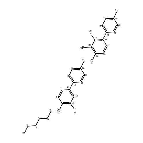 CCCCCCOc1ccc(-c2ccc(COc3ccc(-c4ccc(C)cc4)c(F)c3F)cc2)cc1F